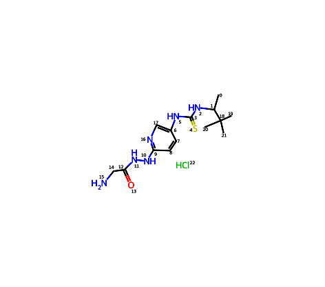 CC(NC(=S)Nc1ccc(NNC(=O)CN)nc1)C(C)(C)C.Cl